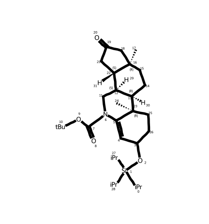 CC(C)[Si](OC1C=C2N(C(=O)OC(C)(C)C)C[C@@H]3[C@@H](CC[C@]4(C)CC(=O)C[C@@H]34)[C@@]2(C)CC1)(C(C)C)C(C)C